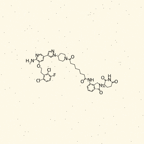 Nc1ncc(-c2cnn(C3CCN(C(=O)CCCCCCC(=O)Nc4cccc5c4CN([C@@H]4CCC(=O)NC4=O)C5=O)CC3)c2)cc1OCCc1c(Cl)ccc(F)c1Cl